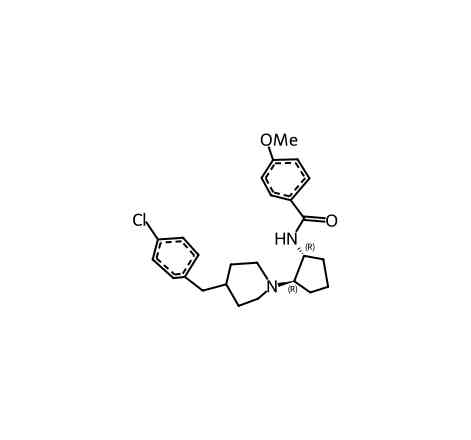 COc1ccc(C(=O)N[C@@H]2CCC[C@H]2N2CCC(Cc3ccc(Cl)cc3)CC2)cc1